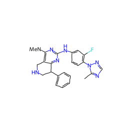 CNc1nc(Nc2ccc(-n3ncnc3C)c(F)c2)nc2c1CNCC2c1ccccc1